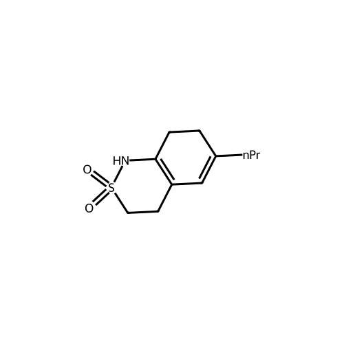 CCCC1=CC2=C(CC1)NS(=O)(=O)CC2